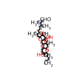 C=C/C=C\CCC1OC2CCC3(C)OC4C(O)CC5(C)OC(CC/C=C(C)/C(C)=C/C=O)C(C)CC5OC4CC3OC2CCC1(C)O